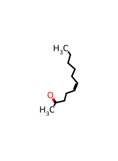 CCCCC/C=C\CCC(C)=O